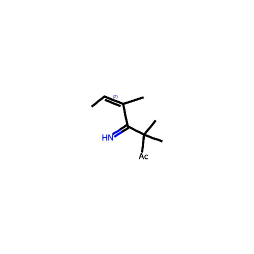 C/C=C(/C)C(=N)C(C)(C)C(C)=O